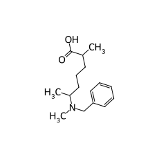 CC(CCCC(C)N(C)Cc1ccccc1)C(=O)O